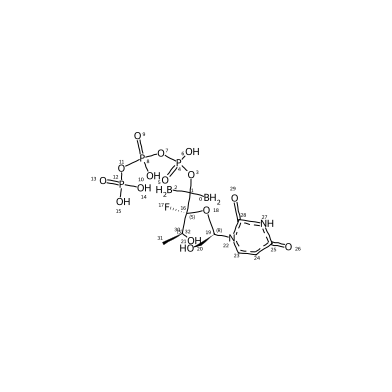 BC(B)(OP(=O)(O)OP(=O)(O)OP(=O)(O)O)[C@@](F)(O[C@H](CO)n1ccc(=O)[nH]c1=O)[C@H](C)O